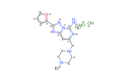 CCN1CCN(Cc2cc3nc(-c4ccco4)nn3c(N)n2)CC1.Cl.Cl.Cl